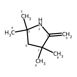 C=C1NC(C)(C)CC1(C)C